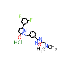 CN(C)Cc1nc(-c2cccc(Cn3nc(-c4cc(F)cc(F)c4)ccc3=O)c2)no1.Cl